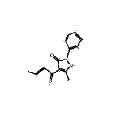 CC=CC(=O)c1c(C)[nH]n(-c2ccccc2)c1=O